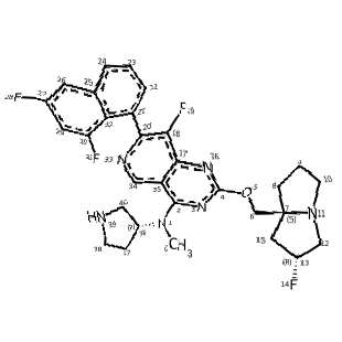 CN(c1nc(OC[C@@]23CCCN2C[C@H](F)C3)nc2c(F)c(-c3cccc4cc(F)cc(F)c34)ncc12)[C@@H]1CCNC1